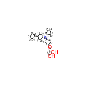 OCC(O)COc1ccc(N(c2ccccc2)c2ccc(-c3ccccc3)cc2)cc1